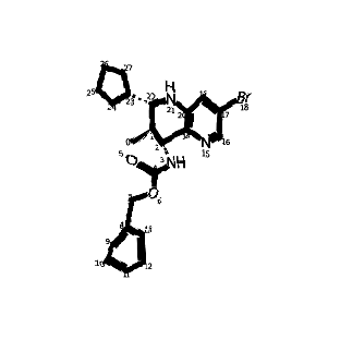 C[C@@H]1[C@@H](NC(=O)OCc2ccccc2)c2ncc(Br)cc2N[C@H]1C1CCCC1